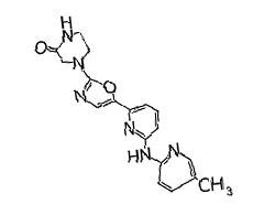 Cc1ccc(Nc2cccc(-c3cnc(N4CCNC(=O)C4)o3)n2)nc1